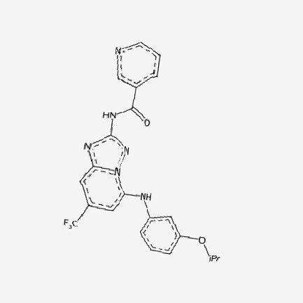 CC(C)Oc1cccc(Nc2cc(C(F)(F)F)cc3nc(NC(=O)c4cccnc4)nn23)c1